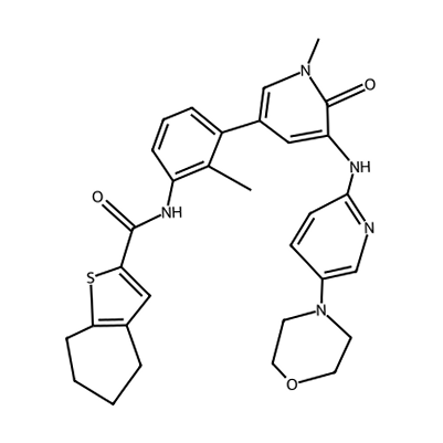 Cc1c(NC(=O)c2cc3c(s2)CCCC3)cccc1-c1cc(Nc2ccc(N3CCOCC3)cn2)c(=O)n(C)c1